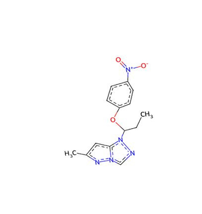 CCC(Oc1ccc([N+](=O)[O-])cc1)n1ncn2nc(C)cc12